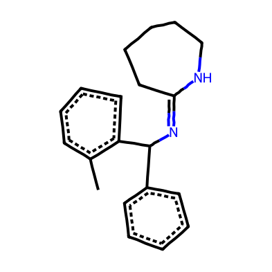 Cc1ccccc1C(N=C1CCCCCN1)c1ccccc1